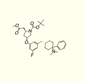 COC(=O)C[C@@H]1C[C@H](Oc2cc(F)cc(C[C@H]3CC[C@](c4ccccc4)(N(C)C)CC3)c2)CN1C(=O)OC(C)(C)C